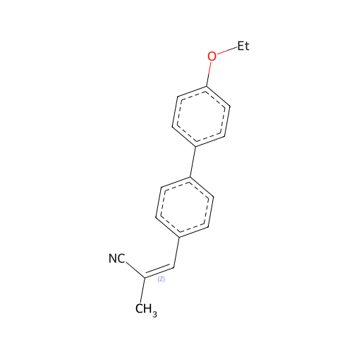 CCOc1ccc(-c2ccc(/C=C(/C)C#N)cc2)cc1